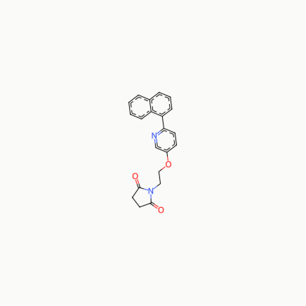 O=C1CCC(=O)N1CCOc1ccc(-c2cccc3ccccc23)nc1